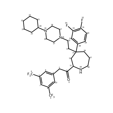 O=C(Cc1cc(C(F)(F)F)cc(C(F)(F)F)c1)C1CC(CCN2CCN(C3CCCCC3)CC2)(c2ccc(F)c(F)c2)CCCN1